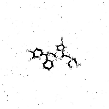 CC(C)c1ccc([C@@H](NC(=O)[C@@H]2C[C@@H](F)CN2C(=O)CN(C=N)C=N)c2ccccc2)nc1F